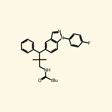 CC(C)(C)C(=O)NCC(C)(C)C(c1ccccc1)c1ccc2c(cnn2-c2ccc(F)cc2)c1